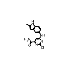 Cc1cc2cc(Nc3cc(C(N)=O)nc(Cl)n3)ccc2[nH]1